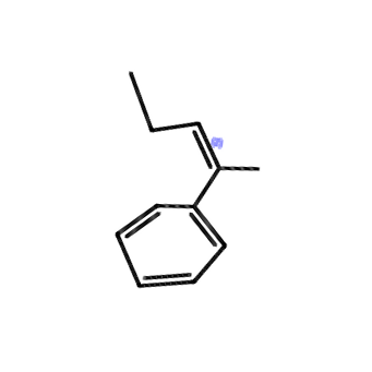 CC/C=C(/C)c1ccccc1